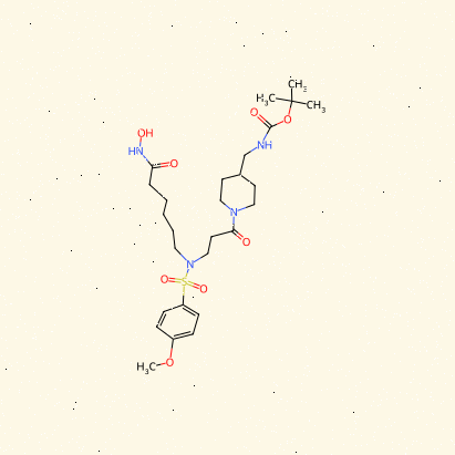 COc1ccc(S(=O)(=O)N(CCCCCC(=O)NO)CCC(=O)N2CCC(CNC(=O)OC(C)(C)C)CC2)cc1